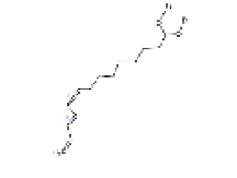 C=C/C=C/C=C\CCCCCCCC(OCC)OCC